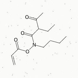 C=CC(=O)ON(CCCC)C(=O)C(CC)C(C)=O